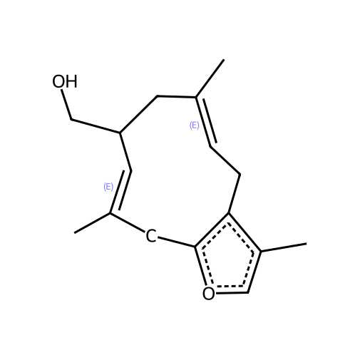 C/C1=C\C(CO)C/C(C)=C/Cc2c(C)coc2C1